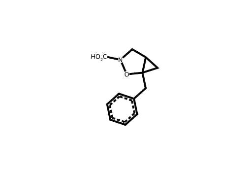 O=C(O)N1CC2CC2(Cc2ccccc2)O1